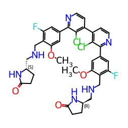 COc1cc(-c2nccc(-c3ccnc(-c4cc(F)c(CNC[C@@H]5CCC(=O)N5)c(OC)c4)c3Cl)c2Cl)cc(F)c1CNC[C@H]1CCC(=O)N1